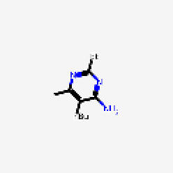 CCCCc1c(C)nc(CC)nc1N